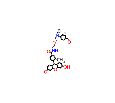 CCN(CCOCCNC(=O)c1ccc(-c2c3ccc(=O)cc-3oc3cc(O)ccc23)c(C)c1)c1ccc(C=O)cc1